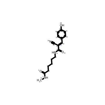 CNC(=O)CCCCCNC(=O)/C(C#N)=C/c1ccc(O)cc1